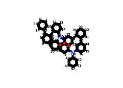 c1ccc(-c2ccccc2-c2ccccc2-n2c3ccccc3c3ccc(-c4ccccc4-c4cccc(N(c5ccccc5)c5ccccc5)c4)cc32)cc1